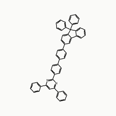 c1ccc(-c2cc(-c3ccccc3)nc(-c3ccc(-c4ccc(-c5ccc6c(c5)-c5ccccc5C6(c5ccccc5)c5ccccc5)cc4)cc3)n2)cc1